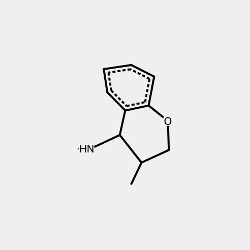 CC1COc2ccccc2C1[NH]